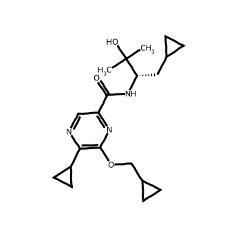 CC(C)(O)[C@H](CC1CC1)NC(=O)c1cnc(C2CC2)c(OCC2CC2)n1